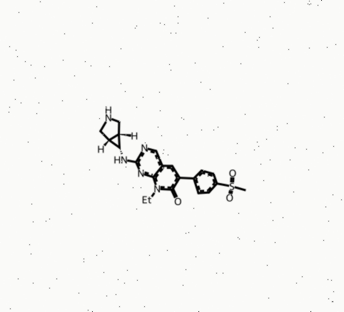 CCn1c(=O)c(-c2ccc(S(C)(=O)=O)cc2)cc2cnc(N[C@@H]3[C@@H]4CNC[C@@H]43)nc21